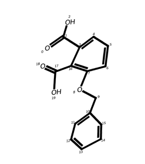 O=C(O)c1cccc(OCc2ccccc2)c1C(=O)O